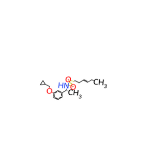 CC/C=C/CCS(=O)(=O)N[C@H](C)c1cccc(OCC2CC2)c1